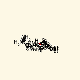 CCN(CC)c1ccc2cc(C3=CC4(c5ccc(N(C)C)cc5O3)c3cc(C(=O)NCCCCOc5c(OC)cc(Cc6cnc(N)nc6N)cc5OC)ccc3C(=O)N4S(C)(=O)=O)c(=O)oc2c1